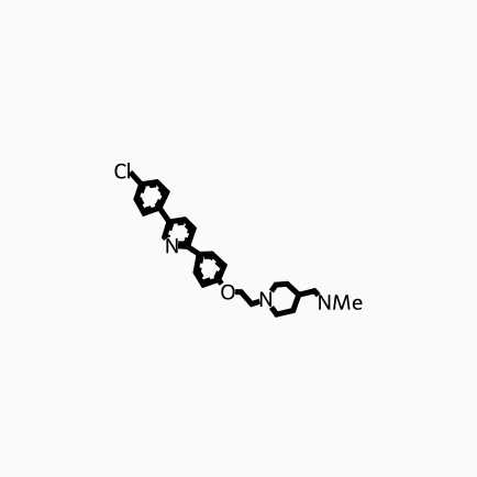 CNCC1CCN(CCOc2ccc(-c3ccc(-c4ccc(Cl)cc4)cn3)cc2)CC1